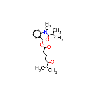 CC(C)C(=O)CCCC(=O)OCc1ccccc1N(C)C(=O)C(C)C